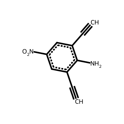 C#Cc1cc([N+](=O)[O-])cc(C#C)c1N